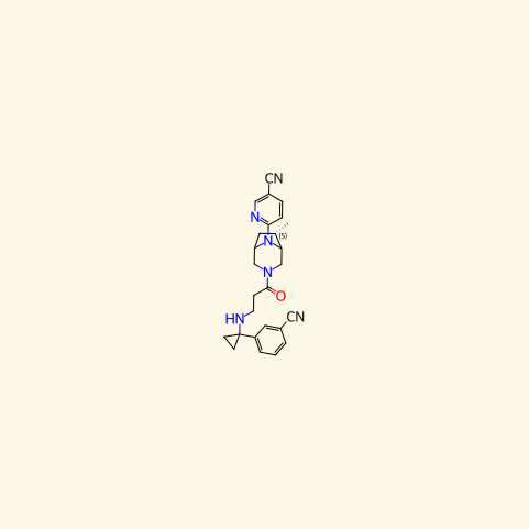 C[C@H]1CC2CN(C(=O)CCNC3(c4cccc(C#N)c4)CC3)CC1N2c1ccc(C#N)cn1